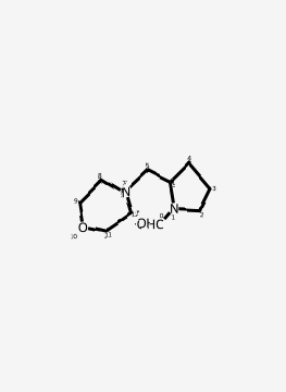 O=[C]N1CCCC1CN1CCOCC1